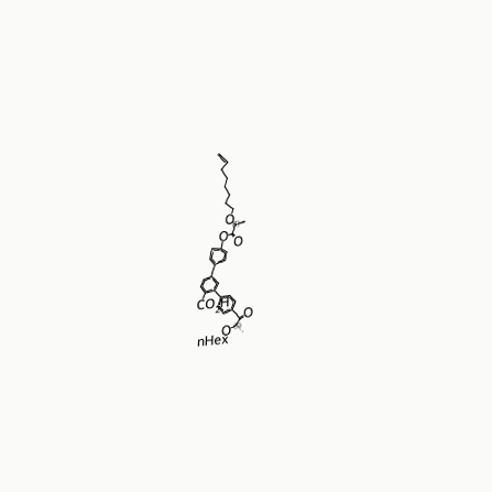 C=CCCCCCCO[C@@H](C)C(=O)Oc1ccc(-c2ccc(C(=O)O)c(-c3ccc(C(=O)[C@H](C)OCCCCCC)cc3)c2)cc1